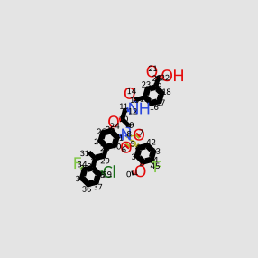 COc1cc(S(=O)(=O)N2CC(CNC(=O)c3cccc(C(=O)O)c3)Oc3ccc(C=C(C)c4c(F)cccc4Cl)cc32)ccc1F